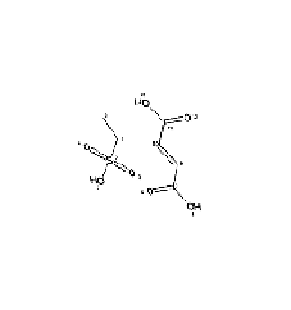 CCS(=O)(=O)O.O=C(O)C=CC(=O)O